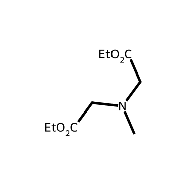 CCOC(=O)CN(C)CC(=O)OCC